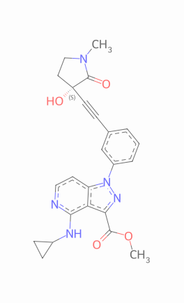 COC(=O)c1nn(-c2cccc(C#C[C@@]3(O)CCN(C)C3=O)c2)c2ccnc(NC3CC3)c12